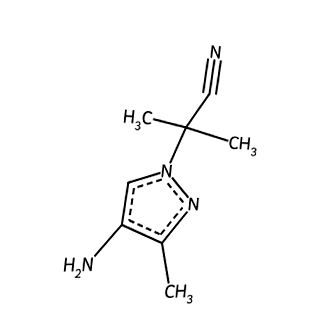 Cc1nn(C(C)(C)C#N)cc1N